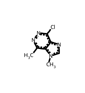 Cc1nnc(Cl)c2ncn(C)c12